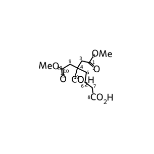 COC(=O)CC(CCCC(=O)O)(CC(=O)OC)C(=O)O